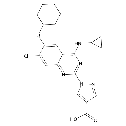 O=C(O)c1cnn(-c2nc(NC3CC3)c3cc(OC4CCCCC4)c(Cl)cc3n2)c1